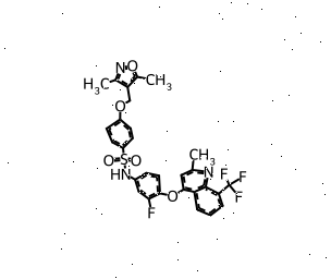 Cc1cc(Oc2ccc(NS(=O)(=O)c3ccc(OCc4c(C)noc4C)cc3)cc2F)c2cccc(C(F)(F)F)c2n1